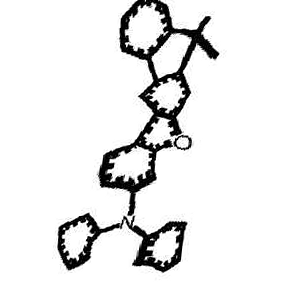 CC1(C)c2ccccc2-c2cc3c(cc21)oc1cc(N(c2ccccc2)c2ccccc2)ccc13